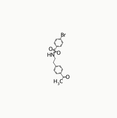 CC(=O)c1ccc(CCNS(=O)(=O)c2ccc(Br)cc2)cc1